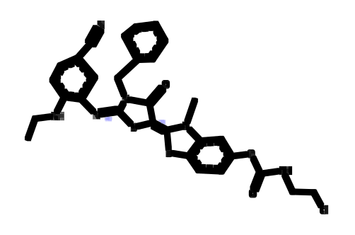 CCNc1ccc(C#N)cc1/N=C1/S/C(=C2\Sc3ccc(OC(=O)NCCCl)cc3N2C)C(=O)N1Cc1ccccc1